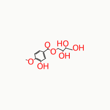 COc1ccc(C(=O)OCC(O)C(O)CO)cc1O